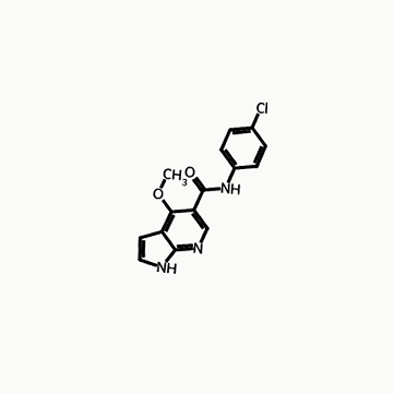 COc1c(C(=O)Nc2ccc(Cl)cc2)cnc2[nH]ccc12